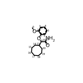 COc1ccccc1OC(C(N)=O)C1CCCCCCC1